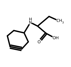 CCC(NC1CC#CCC1)C(=O)O